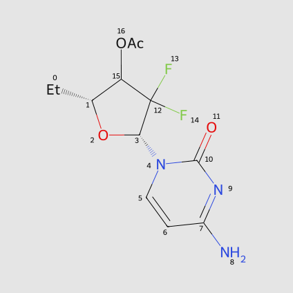 CC[C@H]1O[C@@H](n2ccc(N)nc2=O)C(F)(F)C1OC(C)=O